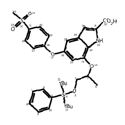 CC(CO[Si](c1ccccc1)(C(C)(C)C)C(C)(C)C)Oc1cc(Oc2ccc(S(C)(=O)=O)cc2)cc2cc(C(=O)O)[nH]c12